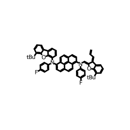 C=C/C=c1\c(=C\N(c2ccc(F)cc2)c2ccc3ccc4c(N(c5ccc(F)cc5)c5cccc6c5oc5c(C(C)(C)C)cccc56)ccc5ccc2c3c54)oc2c(C(C)(C)C)cccc12